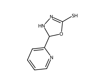 SC1=NNC(c2ccccn2)O1